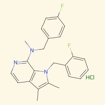 Cc1c(C)n(Cc2ccccc2F)c2c(N(C)Cc3ccc(F)cc3)nccc12.Cl